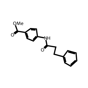 COC(=O)c1ccc(NC(=O)CCc2ccccc2)cc1